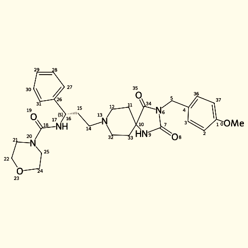 COc1ccc(CN2C(=O)NC3(CCN(CC[C@H](NC(=O)N4CCOCC4)c4ccccc4)CC3)C2=O)cc1